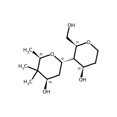 C[C@H]1O[C@H](C2[C@H](O)CCO[C@@H]2CO)C[C@@H](O)C1(C)C